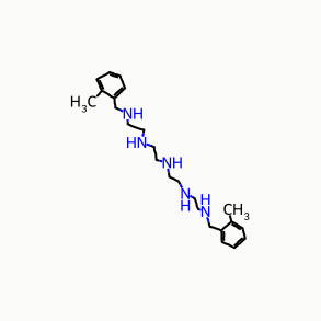 Cc1ccccc1CNCCNCCNCCNCCNCc1ccccc1C